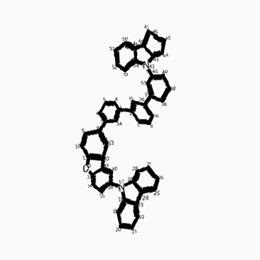 c1cc(-c2cccc(-c3ccc4oc5ccc(-n6c7ccccc7c7ccccc76)cc5c4c3)c2)cc(-c2cccc(-n3c4ccccc4c4ccccc43)c2)c1